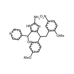 COc1ccc(C(Cc2cc([N+](=O)[O-])ccc2OC)c2nc(N)[nH]c2C(O)c2ccncc2)cc1